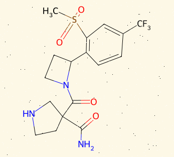 CS(=O)(=O)c1cc(C(F)(F)F)ccc1C1CCN1C(=O)C1(C(N)=O)CCNC1